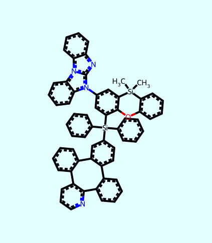 C[Si]1(C)c2ccccc2Oc2c1cc(-n1c3ccccc3n3c4ccccc4nc13)cc2[Si](c1ccccc1)(c1ccccc1)c1ccc2c(c1)-c1ccccc1-c1cccnc1-c1ccccc1-2